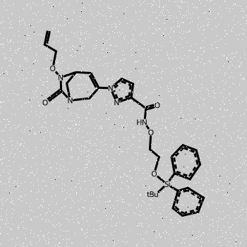 C=CCON1C(=O)N2CC(n3ccc(C(=O)NOCCO[Si](c4ccccc4)(c4ccccc4)C(C)(C)C)n3)=CC1C2